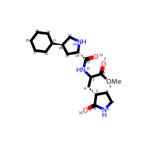 COC(=O)C(C[C@@H]1CCNC1=O)NC(=O)[C@@H]1C[C@@H](C2CCCCC2)CN1